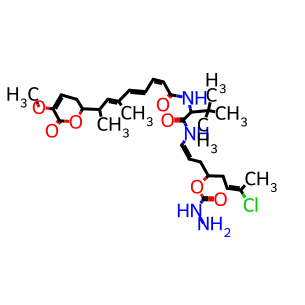 COC1=CCC(C(C)/C=C(C)/C=C/C=C\C(=O)NC(C(=O)N/C=C\CC(C/C=C(\C)Cl)OC(=O)NN)C(C)(C)C)OC1=O